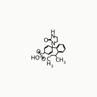 CCC(C)c1ccccc1C1(N2CCNC2=O)C=CC(S(=O)(=O)O)C=C1